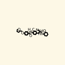 Cc1c(NC(=O)c2ccc(OCC3CCCO3)cc2)ccc2cc(CNC3CCCC[C@H]3O)cnc12